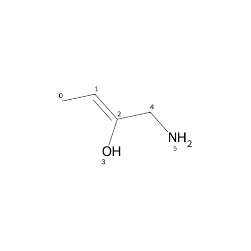 CC=C(O)CN